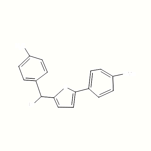 COc1ccc(-c2ccc(C(Br)c3ccc(C)cc3)s2)cc1